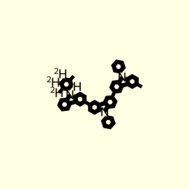 [2H]c1c([2H])c(C)c([2H])c(-n2c3ccccc3c3cc(-c4ccc5c(c4)c4cc(-c6ccc7c(c6)c6cc(C)ccc6n7-c6ccccc6)ccc4n5-c4ccccc4)ccc32)c1[2H]